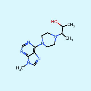 CC(O)C(C)N1CCN(c2ncnc3c2ncn3C)CC1